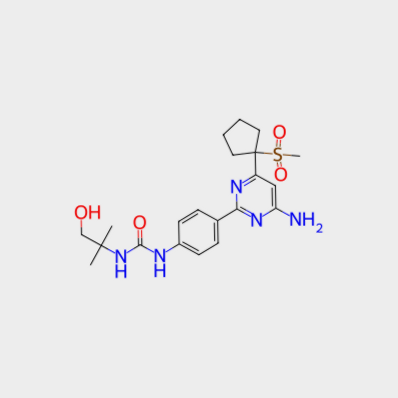 CC(C)(CO)NC(=O)Nc1ccc(-c2nc(N)cc(C3(S(C)(=O)=O)CCCC3)n2)cc1